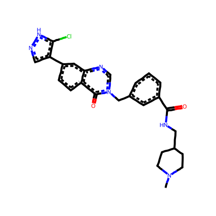 CN1CCC(CNC(=O)c2cccc(Cn3cnc4cc(-c5cn[nH]c5Cl)ccc4c3=O)c2)CC1